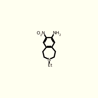 CCN1CCc2cc(N)c([N+](=O)[O-])cc2CC1